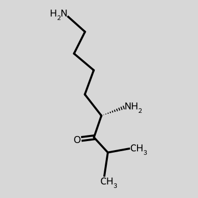 CC(C)C(=O)[C@@H](N)CCCCN